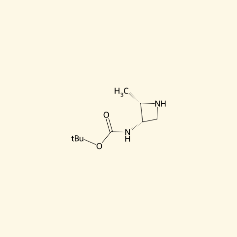 C[C@@H]1NC[C@@H]1NC(=O)OC(C)(C)C